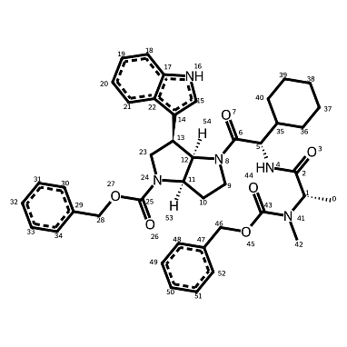 C[C@@H](C(=O)N[C@H](C(=O)N1CC[C@@H]2[C@H]1[C@H](c1c[nH]c3ccccc13)CN2C(=O)OCc1ccccc1)C1CCCCC1)N(C)C(=O)OCc1ccccc1